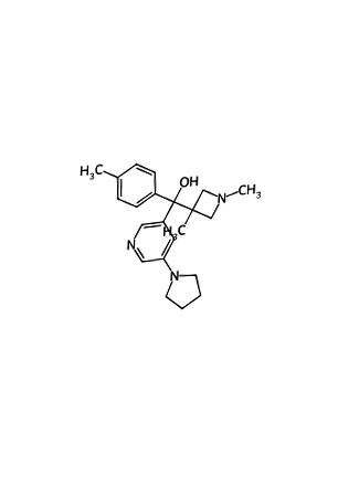 Cc1ccc(C(O)(c2cncc(N3CCCC3)c2)C2(C)CN(C)C2)cc1